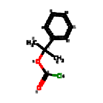 CC(C)(OC(=O)Cl)c1ccccc1